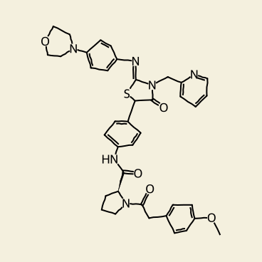 COc1ccc(CC(=O)N2CCC[C@H]2C(=O)Nc2ccc(C3S/C(=N\c4ccc(N5CCOCC5)cc4)N(Cc4ccccn4)C3=O)cc2)cc1